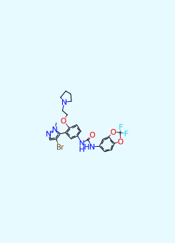 Cn1ncc(Br)c1-c1cc(NC(=O)Nc2ccc3c(c2)OC(F)(F)O3)ccc1OCCN1CCCC1